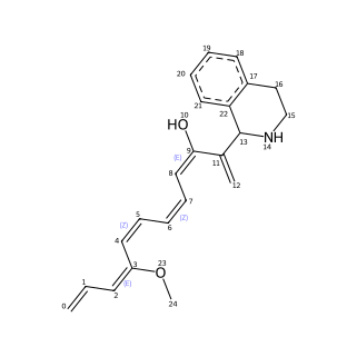 C=C\C=C(/C=C\C=C/C=C(/O)C(=C)C1NCCc2ccccc21)OC